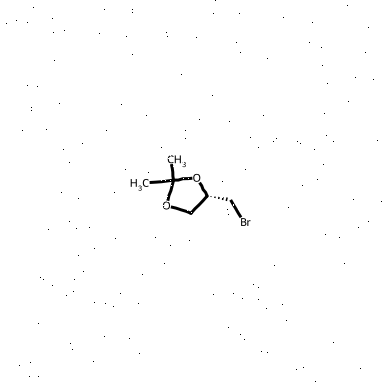 CC1(C)OC[C@@H](CBr)O1